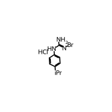 CC(C)c1ccc(NC(N)=NBr)cc1.Cl